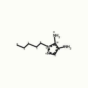 CCCCCn1ncc(N)c1N